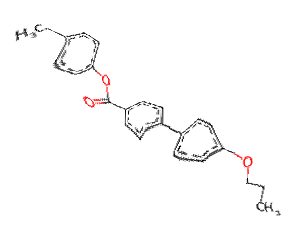 CCCOc1ccc(-c2ccc(C(=O)Oc3ccc(C)cc3)cc2)cc1